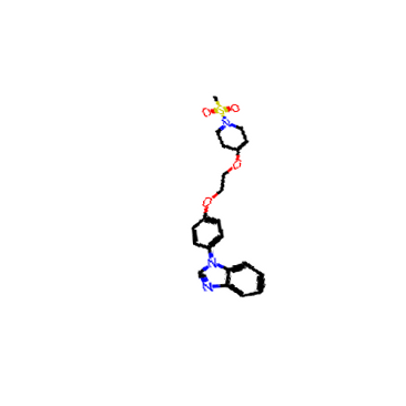 CS(=O)(=O)N1CCC(OCCOc2ccc(-n3cnc4ccccc43)cc2)CC1